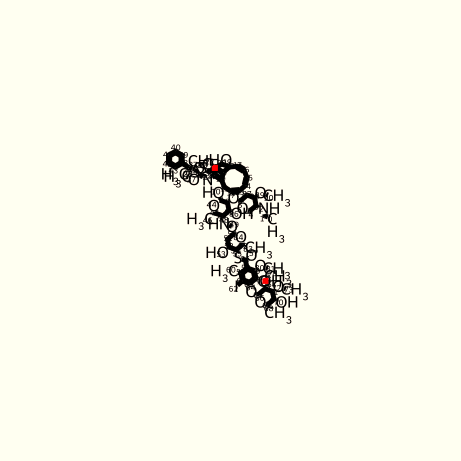 CCN[C@H]1CO[C@@H](O[C@H]2[C@H](O[C@H]3C#C/C=C\C#C[C@]4(O)CC(=O)C(NC(=O)OC)=C3/C4=C\CSSC(C)(C)c3ccccc3)O[C@H](C)[C@@H](NO[C@H]3C[C@H](O)[C@H](SC(=O)c4c(C)c(I)c(O[C@@H]5O[C@@H](C)[C@H](O)[C@@H](OC)[C@H]5O)c(OC)c4OC)[C@@H](C)O3)[C@@H]2O)C[C@@H]1OC